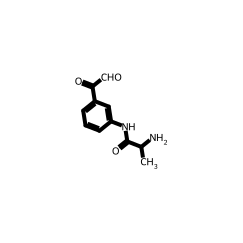 CC(N)C(=O)Nc1cccc(C(=O)C=O)c1